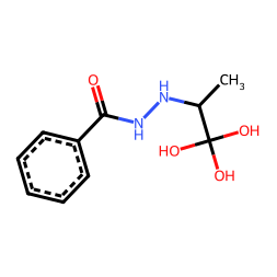 CC(NNC(=O)c1ccccc1)C(O)(O)O